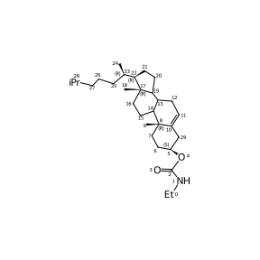 CCNC(=O)O[C@H]1CC[C@@]2(C)C(=CCC3C2CC[C@@]2(C)C3CC[C@@H]2[C@H](C)CCCC(C)C)C1